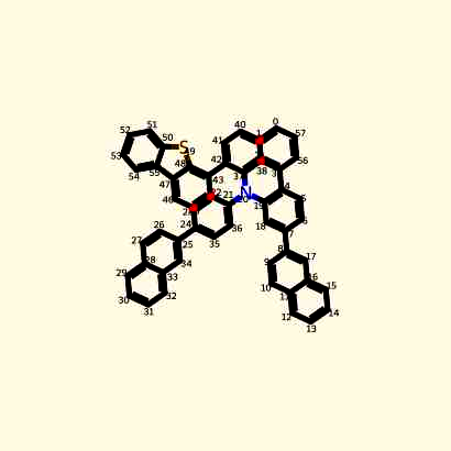 c1ccc(-c2ccc(-c3ccc4ccccc4c3)cc2N(c2ccc(-c3ccc4ccccc4c3)cc2)c2ccccc2-c2cccc3c2sc2ccccc23)cc1